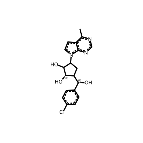 Cc1ncnc2c1ccn2C1CC([C@@H](O)c2ccc(Cl)cc2)[C@@H](O)C1O